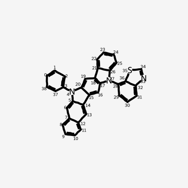 c1ccc(-n2c3cc4ccccc4cc3c3cc4c(cc32)c2ccccc2n4-c2cccc3ncsc23)cc1